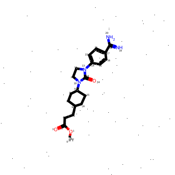 CC(C)OC(=O)CCC1CCC(N2CCN(c3ccc(C(=N)N)cc3)C2=O)CC1